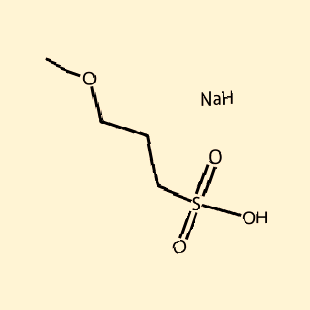 COCCCS(=O)(=O)O.[NaH]